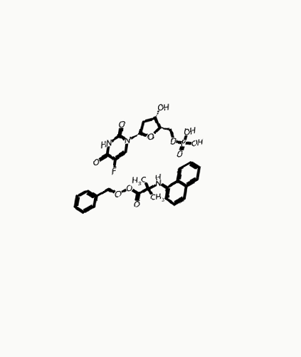 CC(C)(Nc1cccc2ccccc12)C(=O)OOCc1ccccc1.O=c1[nH]c(=O)n([C@H]2C[C@H](O)[C@@H](COP(=O)(O)O)O2)cc1F